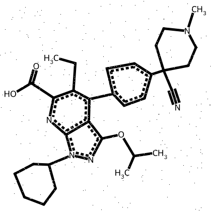 CCc1c(C(=O)O)nc2c(c(OC(C)C)nn2C2CCCCC2)c1-c1ccc(C2(C#N)CCN(C)CC2)cc1